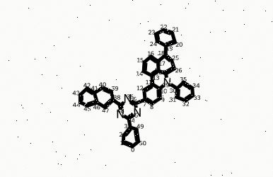 c1ccc(-c2nc(-c3ccc4c(c3)-c3cccc5c(-c6ccccc6)ccc(c35)N4c3ccccc3)nc(-c3ccc4ccccc4c3)n2)cc1